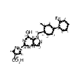 Cc1cc(-c2ccccc2F)ccc1Cn1ncc2nc(-n3cc(C(=O)O)cn3)nc(O)c21